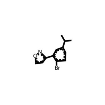 CC(C)c1ccc(Br)c(-c2ccon2)c1